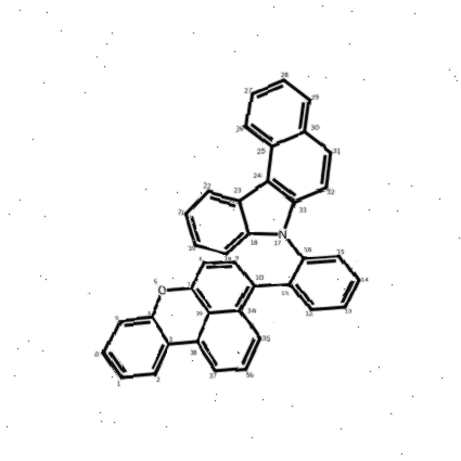 c1ccc2c(c1)Oc1ccc(-c3ccccc3-n3c4ccccc4c4c5ccccc5ccc43)c3cccc-2c13